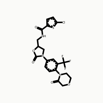 O=C(NCC1CN(c2ccc(N3CCOCC3=O)c(C(F)(F)F)c2)C(=O)O1)c1ccc(Cl)s1